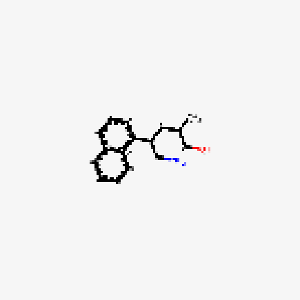 CC(CO)CC(CN)c1cccc2ccccc12